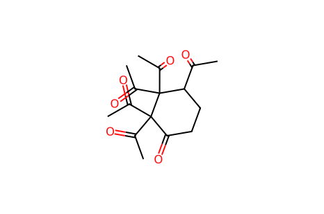 CC(=O)C1CCC(=O)C(C(C)=O)(C(C)=O)C1(C(C)=O)C(C)=O